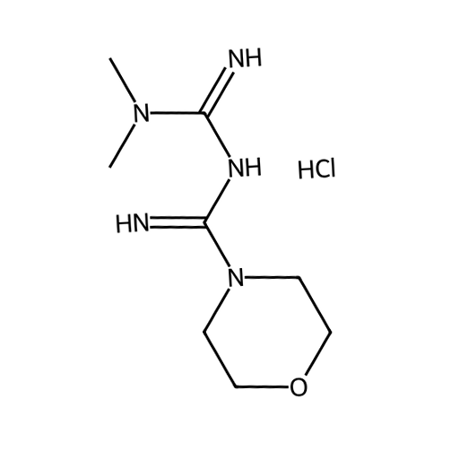 CN(C)C(=N)NC(=N)N1CCOCC1.Cl